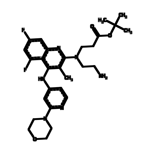 Cc1c(N(CCN)CCC(=O)OC(C)(C)C)nc2cc(F)cc(F)c2c1Nc1ccnc(N2CCOCC2)c1